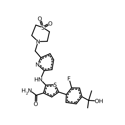 CC(C)(O)c1ccc(-c2cc(C(N)=O)c(Nc3cccc(CN4CCS(=O)(=O)CC4)n3)s2)c(F)c1